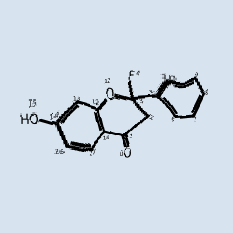 O=C1CC(F)(c2ccccc2)Oc2cc(O)ccc21